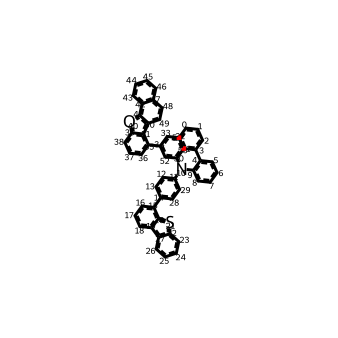 c1ccc(-c2ccccc2N(c2ccc(-c3cccc4c3sc3ccccc34)cc2)c2cccc(-c3cccc4oc5c6ccccc6ccc5c34)c2)cc1